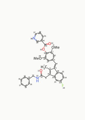 COc1cc(C=C2C(C)=C(CC(=O)NCc3ccccc3)c3cc(F)ccc32)cc(OC)c1OC(=O)c1cccnc1